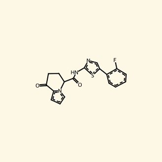 O=C1CCC(C(=O)Nc2ncc(-c3ccccc3F)s2)n2cccc21